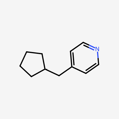 c1cc(C[C]2CCCC2)ccn1